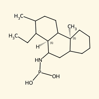 CCC1C(C)CCC2[C@H]1C(NP(O)O)CC1CCCC[C@@]12C